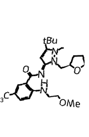 COCCNc1ccc(C(F)(F)F)cc1C(=O)N=c1cc(C(C)(C)C)n(C)n1C[C@H]1CCCO1